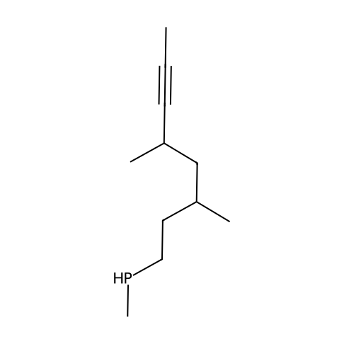 CC#CC(C)CC(C)CCPC